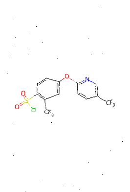 O=S(=O)(Cl)c1ccc(Oc2ccc(C(F)(F)F)cn2)cc1C(F)(F)F